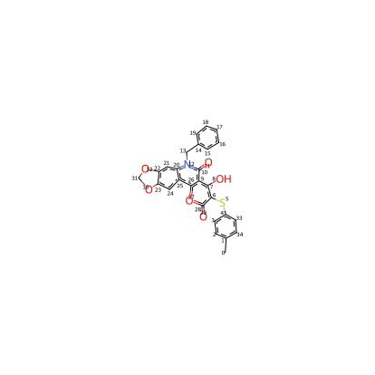 Cc1ccc(Sc2c(O)c3c(=O)n(Cc4ccccc4)c4cc5c(cc4c3oc2=O)OCO5)cc1